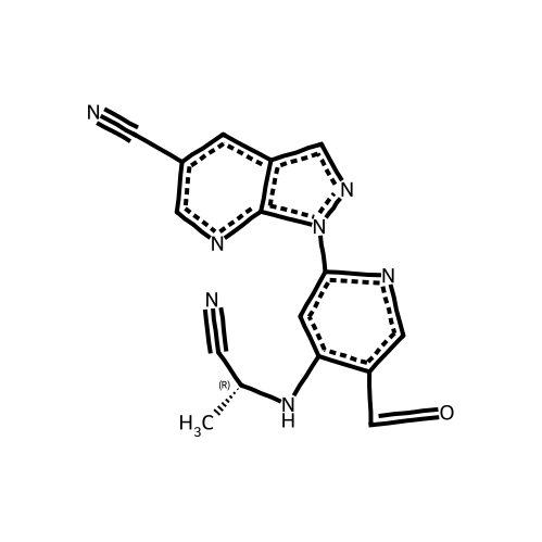 C[C@H](C#N)Nc1cc(-n2ncc3cc(C#N)cnc32)ncc1C=O